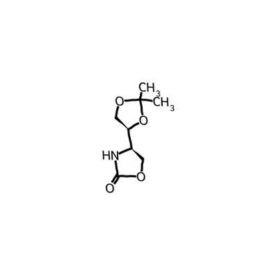 CC1(C)OC[C@H]([C@H]2COC(=O)N2)O1